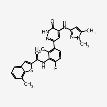 Cc1c(-c2cc(Nc3cc(C)n(C)n3)c(=O)[nH]n2)ccc(F)c1NC(=O)c1cc2cccc(C)c2s1